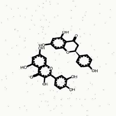 O=C1C[C@@H](c2ccc(O)cc2)Oc2cc(O)cc(O)c21.O=c1c(O)c(-c2ccc(O)c(O)c2)oc2cc(O)cc(O)c12